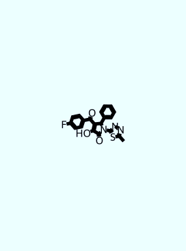 Cc1nnc(N2C(=O)C(O)=C(C(=O)c3ccc(F)cc3)C2c2ccccc2)s1